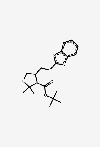 CC(C)(C)OC(=O)N1C(CSc2nc3ccccc3s2)COC1(C)C